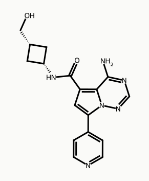 Nc1ncnn2c(-c3ccncc3)cc(C(=O)N[C@H]3C[C@@H](CO)C3)c12